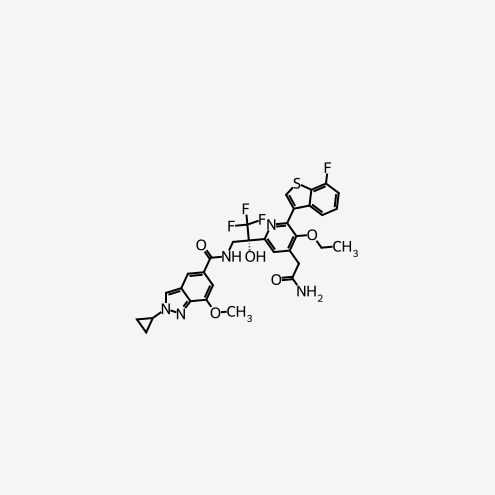 CCOc1c(CC(N)=O)cc([C@@](O)(CNC(=O)c2cc(OC)c3nn(C4CC4)cc3c2)C(F)(F)F)nc1-c1csc2c(F)cccc12